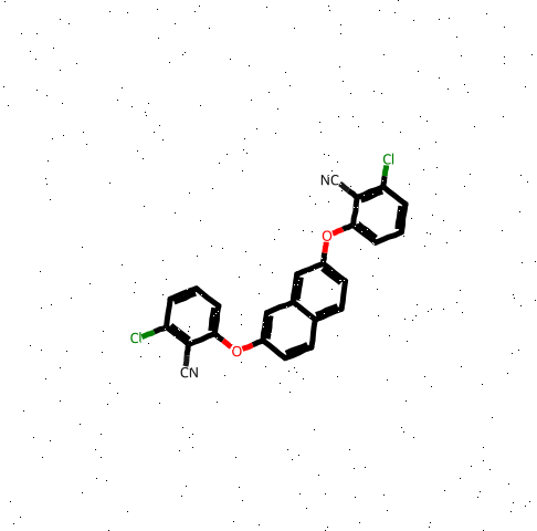 N#Cc1c(Cl)cccc1Oc1ccc2ccc(Oc3cccc(Cl)c3C#N)cc2c1